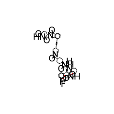 O=C1CCC(N2Cc3c(C#CC4CCN(C(=O)C5CCC(NC(=O)[C@@H]6NC7(CCCCC7)[C@@]7(C(=O)Nc8cc(F)ccc87)[C@H]6c6cccc(F)c6F)CC5)CC4)cccc3C2=O)C(=O)N1